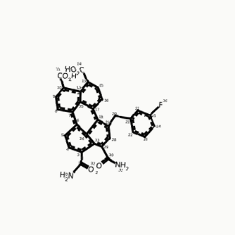 NC(=O)c1ccc2c3ccc(C(=O)O)c4c(C(=O)O)ccc(c5c(Cc6cccc(F)c6)cc(C(N)=O)c1c25)c43